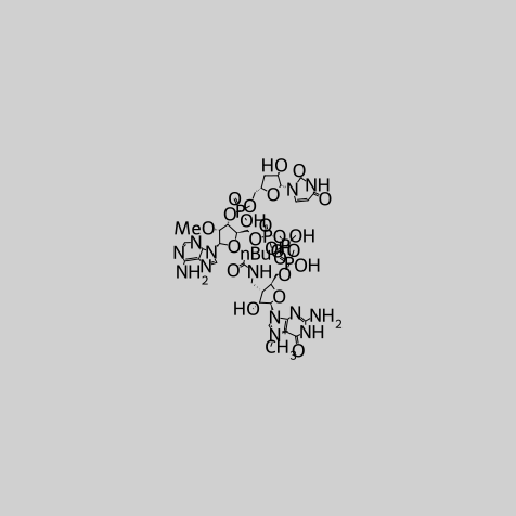 CCCCC(=O)NC[C@H]1[C@@H](O)[C@H](n2c[n+](C)c3c(=O)[nH]c(N)nc32)O[C@@H]1COP(=O)(O)OP(=O)(O)OP(=O)(O)OC[C@H]1O[C@@H](n2cnc3c(N)ncnc32)[C@H](OC)[C@@H]1OP(=O)(O)OC[C@@H]1C[C@@H](O)[C@H](n2ccc(=O)[nH]c2=O)O1